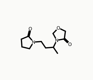 CC(CCN1CCCC1=O)N1COCC1=O